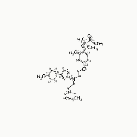 CCN(CC)CCN(CCOc1ccc(OC(C)(C)C(=O)O)c(C)c1)c1nc(-c2ccc(C)cc2)cs1